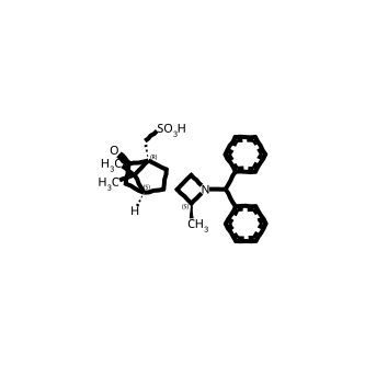 CC1(C)[C@H]2CC[C@]1(CS(=O)(=O)O)C(=O)C2.C[C@H]1CCN1C(c1ccccc1)c1ccccc1